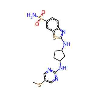 CSc1cnc(NC2CCC(Nc3nc4ccc(S(N)(=O)=O)cc4s3)C2)nc1